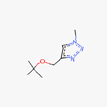 Cn1cc(COC(C)(C)C)nn1